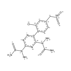 NC(=O)N(N)c1nnc(-c2ccc(C[SH](=O)=O)cc2Cl)c(N(N)C(N)=O)n1